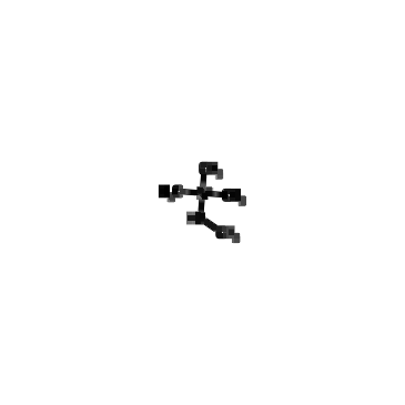 CB[N+](C)(C)C